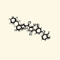 Cc1cc(Oc2cccc(F)c2F)ccc1N1NCC(C(=O)c2cc3c(Cc4ccccc4)cccc3[nH]2)=C1N